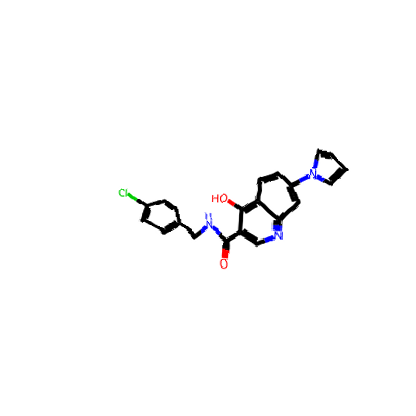 O=C(NCc1ccc(Cl)cc1)c1cnc2cc(-n3cccc3)ccc2c1O